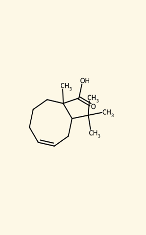 CC(C)(C)C1CC=CCCCC1(C)C(=O)O